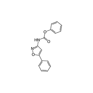 O=C(Nc1cc(-c2ccccc2)on1)Oc1ccccc1